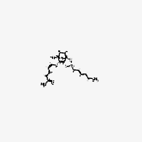 CCCCCCOC[C@@H]1[C@H](C/C=C\CCC(=O)O)[C@@H]2CC[C@H]1O2